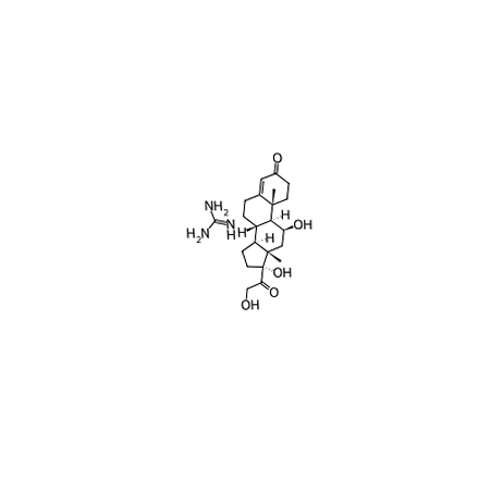 C[C@]12CCC(=O)C=C1CC[C@@H]1[C@@H]2[C@@H](O)C[C@@]2(C)[C@H]1CC[C@]2(O)C(=O)CO.N=C(N)N